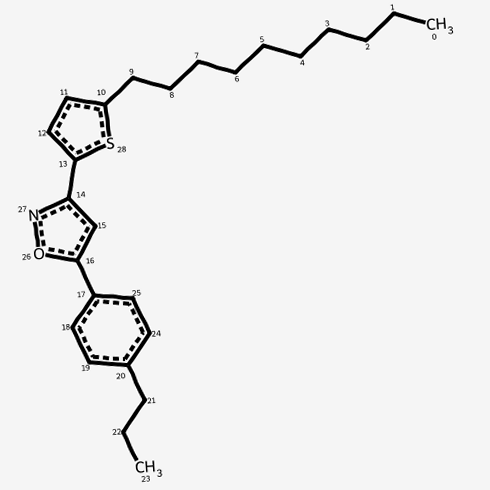 CCCCCCCCCCc1ccc(-c2cc(-c3ccc(CCC)cc3)on2)s1